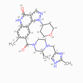 Cc1nc(CN2CCN(C(=O)c3cc4c(cc3C)[nH]c(=O)c3cnn(C5CCOCC5)c34)C[C@@H]2C)c[nH]1